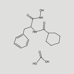 O=C(NC(Cc1ccccc1)C(=O)NO)C1CCCCC1.O=C(O)O